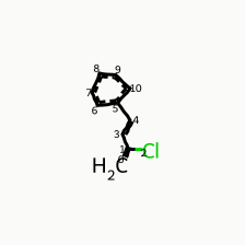 C=C(Cl)/C=C/c1ccccc1